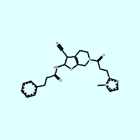 Cn1ccnc1CCC(=O)N1CCC2=C(C1)SC(NC(=O)CCc1ccccc1)C2C#N